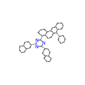 c1ccc(-c2c3ccccc3cc3c2ccc2c(-c4nc(-c5ccc6ccccc6c5)nc(-c5ccc6ccccc6c5)n4)cccc23)cc1